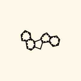 c1ccc2c3c(ccc2c1)-c1c(ccc2ccccc12)C3